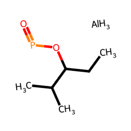 CCC(OP=O)C(C)C.[AlH3]